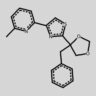 Cc1cccc(-c2csc(C3(Cc4ccccc4)COCO3)n2)n1